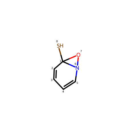 SC12C=CC=CN1O2